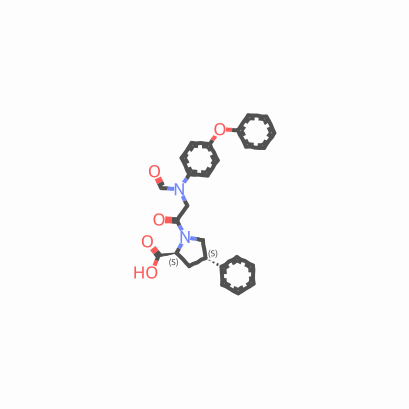 O=CN(CC(=O)N1C[C@H](c2ccccc2)C[C@H]1C(=O)O)c1ccc(Oc2ccccc2)cc1